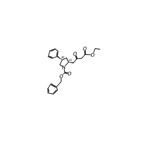 CCOC(=O)CC(=O)C[C@@H]1C[C@H](c2ccccc2)CN1C(=O)OCc1ccccc1